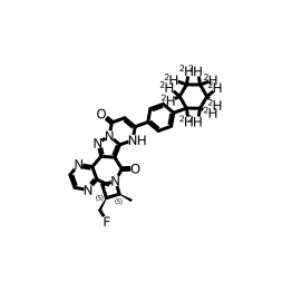 [2H]C1([2H])C([2H])([2H])C([2H])([2H])C([2H])(c2ccc(-c3cc(=O)n4nc(-c5nccnc5C)c(C(=O)N5C[C@H](CF)[C@@H]5C)c4[nH]3)cc2)C([2H])([2H])C1([2H])[2H]